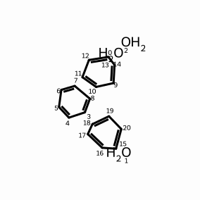 O.O.O.c1ccccc1.c1ccccc1.c1ccccc1